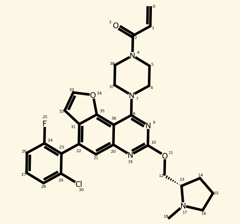 C=CC(=O)N1CCN(c2nc(OC[C@@H]3CCCN3C)nc3cc(-c4c(F)cccc4Cl)c4ccoc4c23)CC1